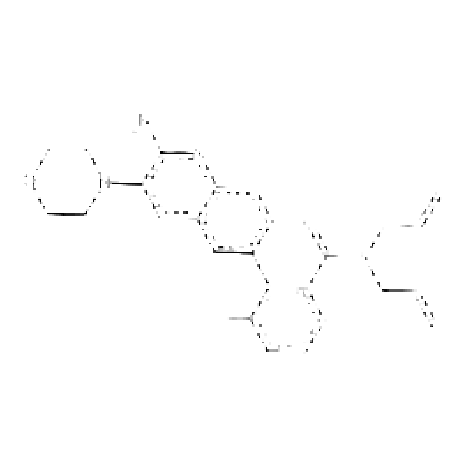 C=CCN(CC=C)C(=O)c1cccc(C)c1-c1ccc2nc(N)c(N3CCOCC3)cc2c1